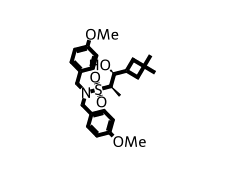 COc1ccc(CN(Cc2ccc(OC)cc2)S(=O)(=O)[C@H](C)[C@H](O)C2CC(C)(C)C2)cc1